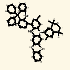 Cc1cc(-c2cccc3c2Nc2ccccc2C3(c2ccccc2)c2ccccc2)c2c(c1)N(c1cc3c(cc1C)C(C)(C)CCC3(C)C)c1cc3c(cc1B2)Oc1ccccc1O3